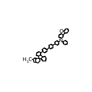 CC1C=C2CC(CCC23c2ccccc2-c2c(-c4ccc(-c5ccc(-c6ccc(N(c7ccccc7)c7ccc8oc9ccccc9c8c7)cc6)cc5)cc4)cccc23)C1